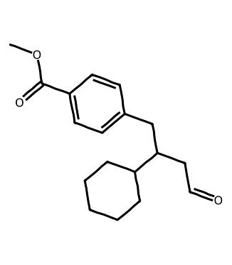 COC(=O)c1ccc(CC(CC=O)C2CCCCC2)cc1